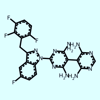 Nc1ncnc(N)c1-c1c(N)nc(-n2nc(Cc3c(F)ccc(F)c3F)c3cc(F)ccc32)nc1N